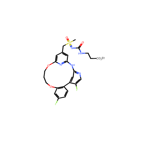 CCOC(=O)CCNC(=O)N=S(C)(=O)Cc1cc2nc(c1)OCCCOc1cc(F)ccc1-c1cc(ncc1F)N2